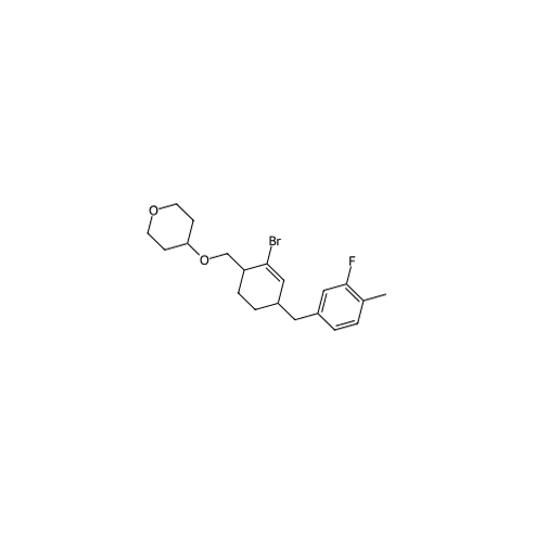 Cc1ccc(CC2C=C(Br)C(COC3CCOCC3)CC2)cc1F